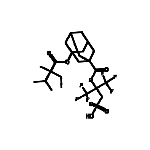 CCC(C)(C(=O)OC12CC3CC(C1)CC(C(=O)OC(CS(=O)(=O)O)(C(F)(F)F)C(F)(F)F)(C3)C2)C(C)C